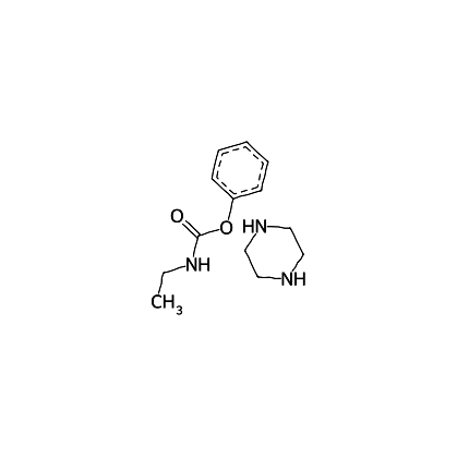 C1CNCCN1.CCNC(=O)Oc1ccccc1